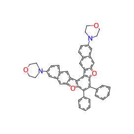 c1ccc(-c2c(-c3ccccc3)c3oc4cc5cc(N6CCOCC6)ccc5cc4c3c3c2oc2cc4cc(N5CCOCC5)ccc4cc23)cc1